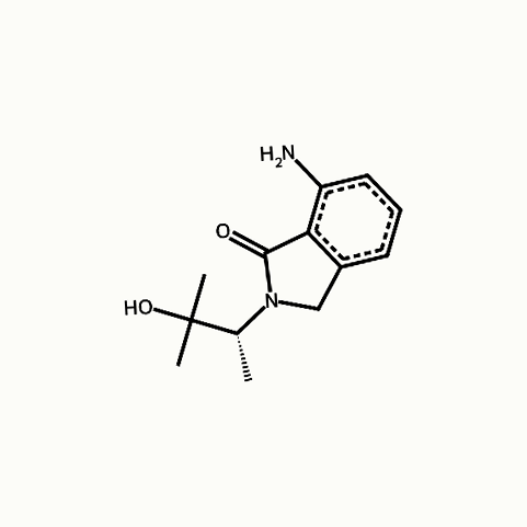 C[C@@H](N1Cc2cccc(N)c2C1=O)C(C)(C)O